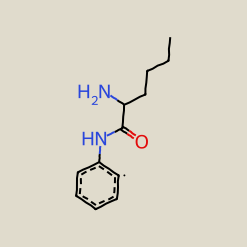 CCCCC(N)C(=O)Nc1[c]cccc1